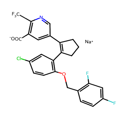 O=C([O-])c1cc(C2=C(c3cc(Cl)ccc3OCc3ccc(F)cc3F)CCC2)cnc1C(F)(F)F.[Na+]